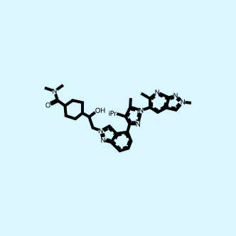 Cc1nc2nn(C)cc2cc1-n1nc(-c2cccc3nn(CC(O)C4CCC(C(=O)N(C)C)CC4)cc23)c(C(C)C)c1C